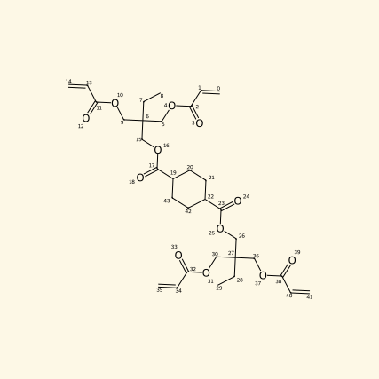 C=CC(=O)OCC(CC)(COC(=O)C=C)COC(=O)C1CCC(C(=O)OCC(CC)(COC(=O)C=C)COC(=O)C=C)CC1